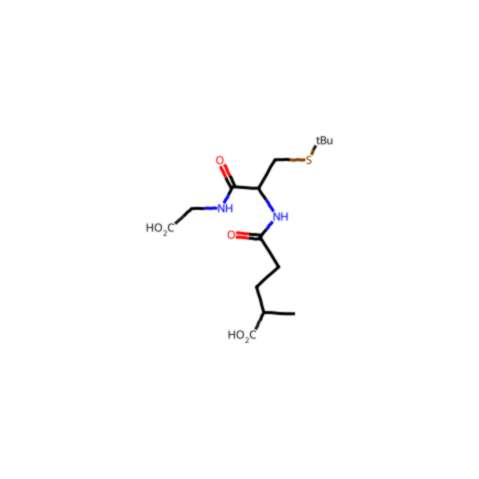 CC(CCC(=O)NC(CSC(C)(C)C)C(=O)NCC(=O)O)C(=O)O